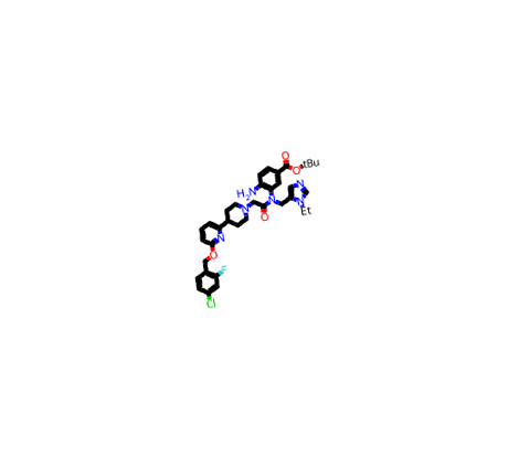 CCn1cncc1CN(C(=O)CN1CCC(c2cccc(OCc3ccc(Cl)cc3F)n2)CC1)c1cc(C(=O)OC(C)(C)C)ccc1N